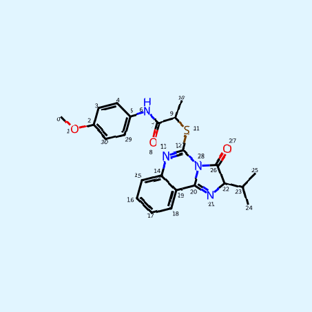 COc1ccc(NC(=O)C(C)SC2=Nc3ccccc3C3=NC(C(C)C)C(=O)N23)cc1